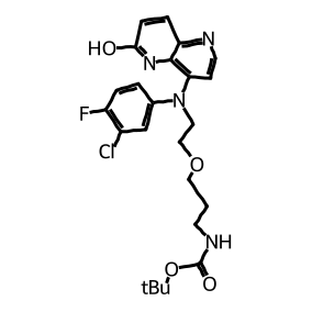 CC(C)(C)OC(=O)NCCCOCCN(c1ccc(F)c(Cl)c1)c1ccnc2ccc(O)nc12